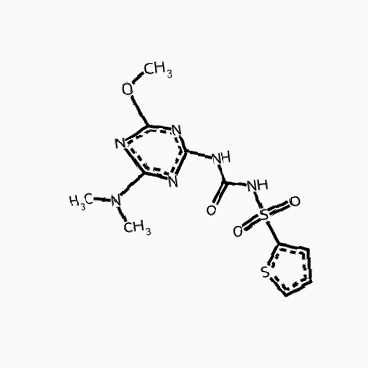 COc1nc(NC(=O)NS(=O)(=O)c2cccs2)nc(N(C)C)n1